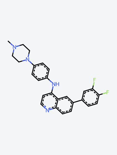 CN1CCN(c2ccc(Nc3ccnc4ccc(-c5ccc(F)c(F)c5)cc34)cc2)CC1